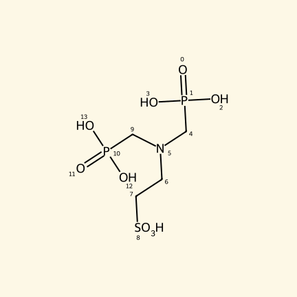 O=P(O)(O)CN(CCS(=O)(=O)O)CP(=O)(O)O